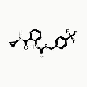 O=C(Nc1ccccc1C(=O)NC1CC1)SCc1ccc(C(F)(F)F)cc1